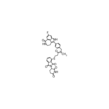 CN(Cc1ccc(-c2[nH]c3cc(F)cc4c3c2CCNC4=O)cc1)C(=O)CCSc1cccc2c1C(=O)N(C1CCC(=O)NC1=O)C2=O